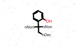 CCCCCCCCCCCC(CCCCCCCCC)(CCCCCCCCC)c1ccccc1O